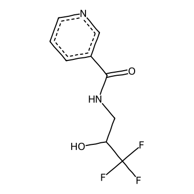 O=C(NCC(O)C(F)(F)F)c1cccnc1